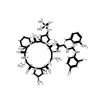 Cc1cccc(C[C@H](NC(=O)Nc2ccc(Cl)cc2F)C(=O)N[C@@H]2C(=O)N3CC(OP(=O)(O)O)C[C@H]3C(=O)N3CCCC[C@H]3C(=O)N[C@@H](C)C(=O)N3C[C@H](C)C[C@H]3C(=O)O[C@H]2C)c1